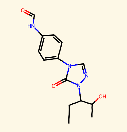 CCC(C(C)O)n1ncn(-c2ccc(NC=O)cc2)c1=O